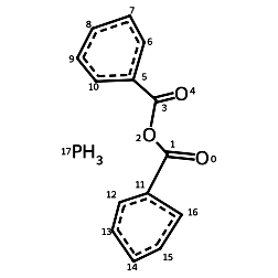 O=C(OC(=O)c1ccccc1)c1ccccc1.P